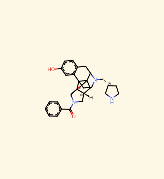 O=C(c1ccccc1)N1C[C@H]2CC34CCC1C2C31CCN(C[C@@H]2CCNC2)C4Cc2ccc(O)cc21